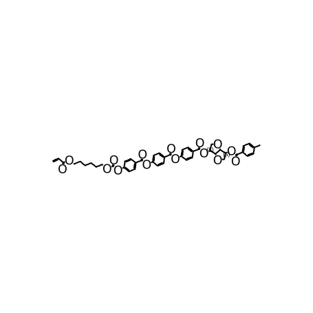 C=CC(=O)OCCCCCCOC(=O)Oc1ccc(C(=O)Oc2ccc(C(=O)Oc3ccc(C(=O)O[C@H]4COC5C4OC[C@@H]5OC(=O)c4ccc(C)cc4)cc3)cc2)cc1